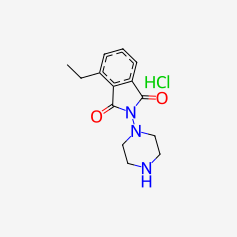 CCc1cccc2c1C(=O)N(N1CCNCC1)C2=O.Cl